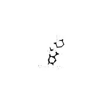 COc1cc2nc(C)n([C@@H]3CCC(=O)NC3=O)c(=O)c2cc1OC